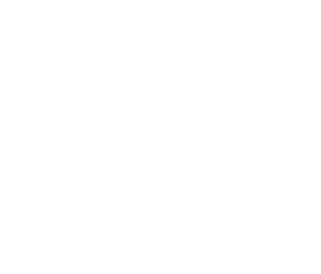 CCCCC=COB(OC=CCCCC)O/C=C\CCCC